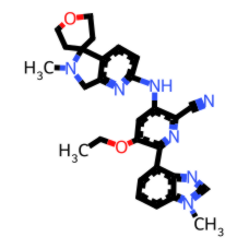 CCOc1cc(Nc2ccc3c(n2)CN(C)C32CCOCC2)c(C#N)nc1-c1cccc2c1ncn2C